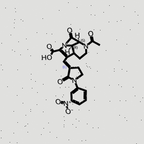 CC(=O)N1CCC2C(/C=C3\CCN(c4cccc([N+](=O)[O-])c4)C3=O)=C(C(=O)O)N3C(=O)[C@@H]1[C@@H]23